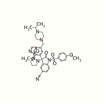 COc1ccc(S(=O)(=O)N2C(=O)C(c3cc(CN4CCN(C(C)C)CC4)ccc3OC)(N3CCC[C@H]3c3ncco3)c3cc(C#N)ccc32)cc1